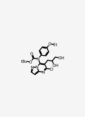 CCOc1ccc(N(C(=O)OC(C)(C)C)c2c(CC(O)CO)c(Cl)nc3ccnn23)cc1